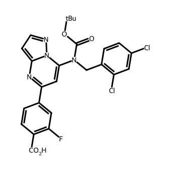 CC(C)(C)OC(=O)N(Cc1ccc(Cl)cc1Cl)c1cc(-c2ccc(C(=O)O)c(F)c2)nc2ccnn12